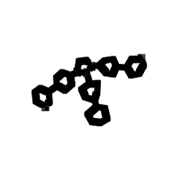 C1=CN(c2ccc(-c3cccnc3)cc2)B(c2ccc(-c3ccccc3)cc2)N1C1=CC=C(c2cccnc2)CC1